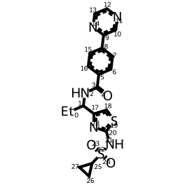 CCC(NC(=O)c1ccc(-c2cnccn2)cc1)c1csc(NS(=O)(=O)C2CC2)n1